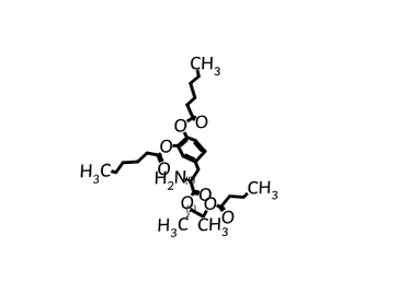 CCCCCC(=O)Oc1ccc(C[C@H](N)C(=O)O[C@@H](C)C(C)OC(=O)CCC)cc1OC(=O)CCCCC